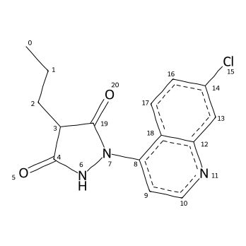 CCCC1C(=O)NN(c2ccnc3cc(Cl)ccc23)C1=O